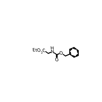 CCOC(=O)CNC(=O)OCc1ccccc1